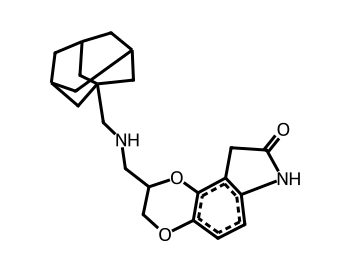 O=C1Cc2c(ccc3c2OC(CNCC24CC5CC(CC(C5)C2)C4)CO3)N1